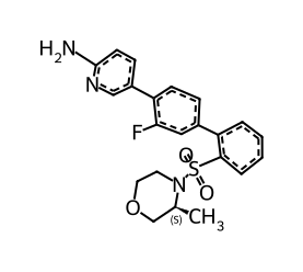 C[C@H]1COCCN1S(=O)(=O)c1ccccc1-c1ccc(-c2ccc(N)nc2)c(F)c1